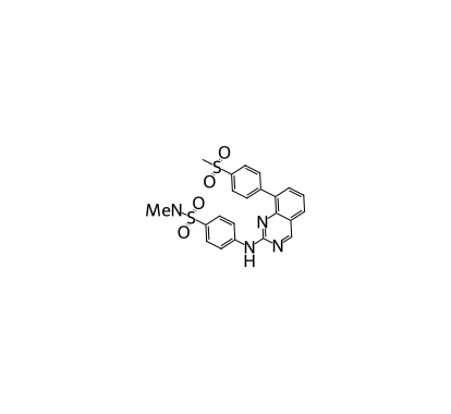 CNS(=O)(=O)c1ccc(Nc2ncc3cccc(-c4ccc(S(C)(=O)=O)cc4)c3n2)cc1